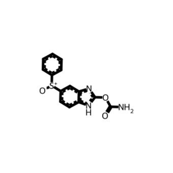 NC(=O)Oc1nc2cc([S+]([O-])c3ccccc3)ccc2[nH]1